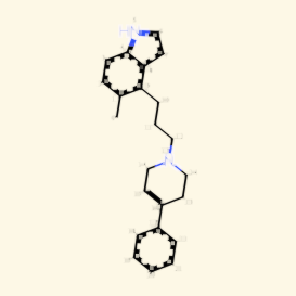 Cc1ccc2[nH]ccc2c1CCCN1CC=C(c2ccccc2)CC1